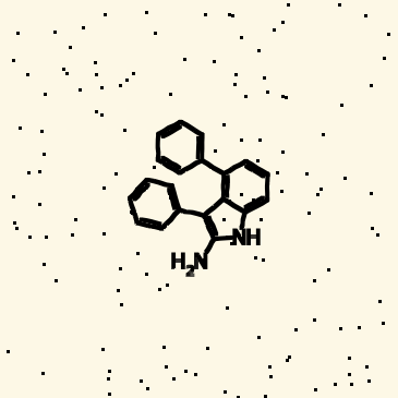 Nc1[nH]c2cccc(-c3ccccc3)c2c1-c1ccccc1